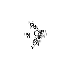 CC(C)C[C@@H]1CCO[C@@H]2[C@H](CN[C@@H]2C(=O)N[C@H]2[C@H]3O[C@H](S[C@H](c4cn(-c5cc(F)c(F)cc5F)nn4)C/C=C\[C@H]2C)[C@H](O)[C@@H](O)[C@H]3O)C1.O=CO